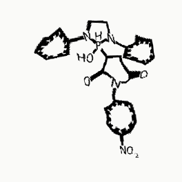 O=C1CC([PH]2(O)N(c3ccccc3)CCN2c2ccccc2)C(=O)N1c1ccc([N+](=O)[O-])cc1